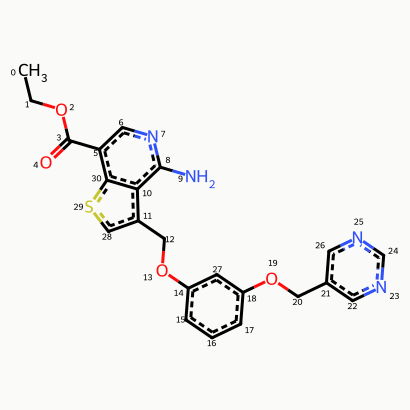 CCOC(=O)c1cnc(N)c2c(COc3cccc(OCc4cncnc4)c3)csc12